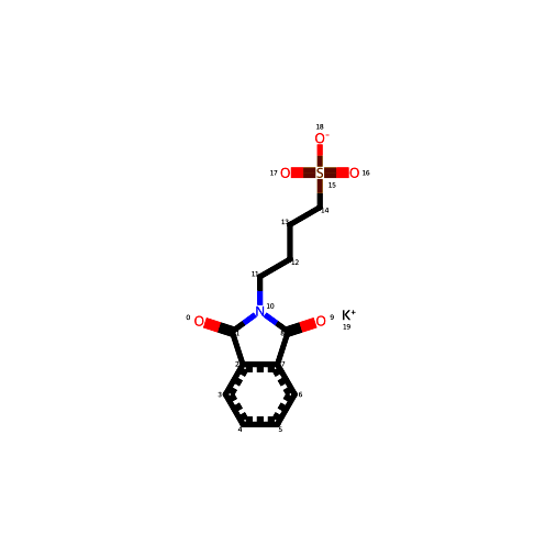 O=C1c2ccccc2C(=O)N1CCCCS(=O)(=O)[O-].[K+]